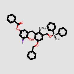 COc1c(CO[Si](c2ccccc2)(c2ccccc2)C(C)(C)C)cc(OCc2ccccc2)cc1Cc1cc(OC(=O)c2ccccc2)cc(I)c1O